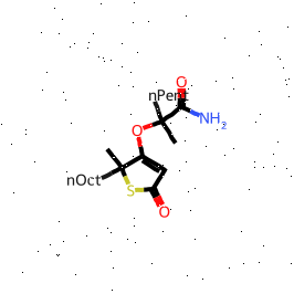 CCCCCCCCC1(C)SC(=O)C=C1OC(C)(CCCCC)C(N)=O